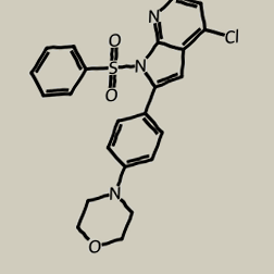 O=S(=O)(c1ccccc1)n1c(-c2ccc(N3CCOCC3)cc2)cc2c(Cl)ccnc21